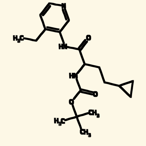 CCc1ccncc1NC(=O)C(CCC1CC1)NC(=O)OC(C)(C)C